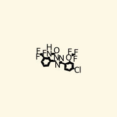 O=c1[nH]c2c(C(F)(F)F)cccc2c2nc(-c3ccc(Cl)cc3OC(F)(F)F)nn12